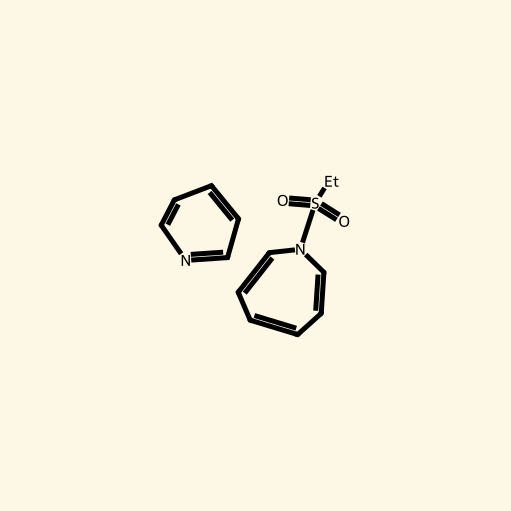 CCS(=O)(=O)N1C=CC=CC=C1.c1ccncc1